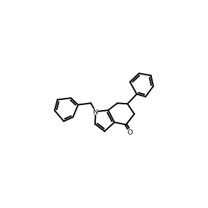 O=C1CC(c2ccccc2)Cc2c1ccn2Cc1ccccc1